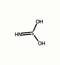 N=S(O)O